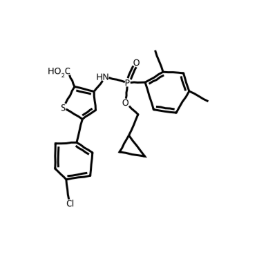 Cc1ccc(P(=O)(Nc2cc(-c3ccc(Cl)cc3)sc2C(=O)O)OCC2CC2)c(C)c1